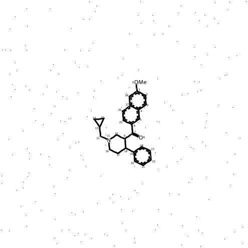 COc1ccc2cc(C(=O)C3CN(CC4CC4)CCC3c3ccccc3)ccc2c1